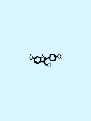 COc1ccc(-c2sc3cc(OC)ccc3c2C=O)cc1